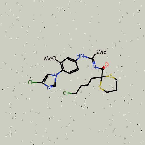 COc1cc(NC(=NC(=O)C2(CCCCCl)SCCCS2)SC)ccc1-n1cnc(Cl)c1